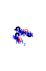 Cc1cccc(-c2nc(C(=O)Nc3ccncn3)cn2-c2ccc3ncc(C(N)=O)n3c2)n1